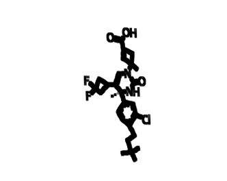 CC(C)(C)CCc1ccc([C@]2(C)NC(=O)N(C3(C)C=C(C(=O)O)C3)C=C2C2CC(F)(F)C2)cc1Cl